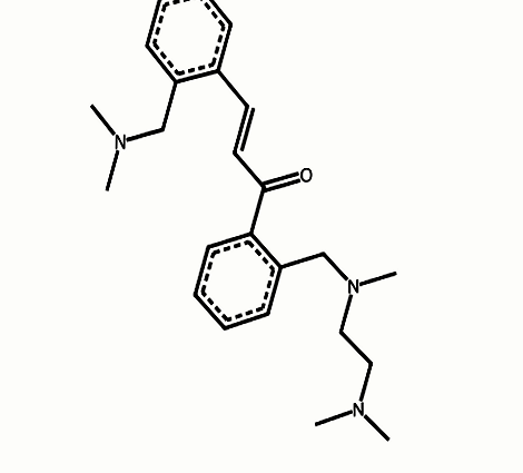 CN(C)CCN(C)Cc1ccccc1C(=O)C=Cc1ccccc1CN(C)C